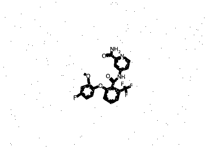 COc1cc(F)ccc1Oc1cccc(C(F)(F)F)c1C(=O)Nc1ccnc(C(N)=O)c1